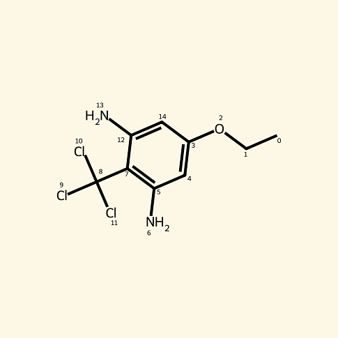 CCOc1cc(N)c(C(Cl)(Cl)Cl)c(N)c1